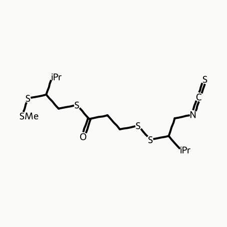 CSSC(CSC(=O)CCSSC(CN=C=S)C(C)C)C(C)C